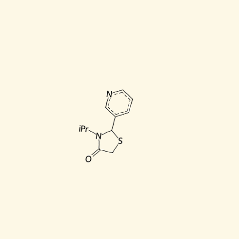 CC(C)N1C(=O)CSC1c1cccnc1